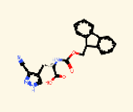 N#Cc1n[nH]cc1C[C@H](NC(=O)OCC1c2ccccc2-c2ccccc21)C(=O)O